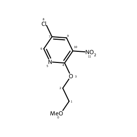 COCCOc1ncc(Cl)cc1[N+](=O)[O-]